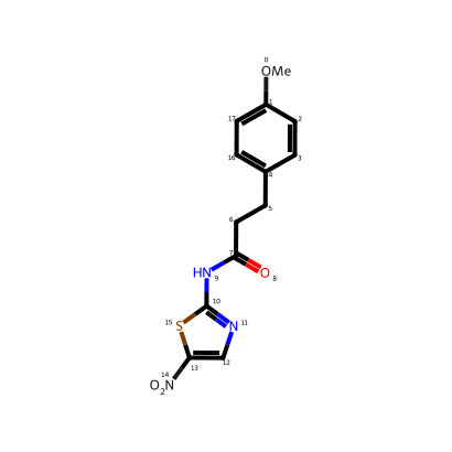 COc1ccc(CCC(=O)Nc2ncc([N+](=O)[O-])s2)cc1